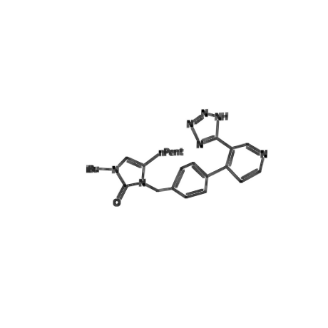 CCCCCc1cn(C(C)CC)c(=O)n1Cc1ccc(-c2ccncc2-c2nnn[nH]2)cc1